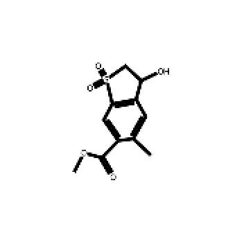 COC(=O)c1cc2c(cc1C)C(O)CS2(=O)=O